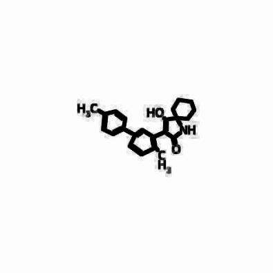 Cc1ccc(-c2ccc(C)c(C3=C(O)C4(CCCCC4)NC3=O)c2)cc1